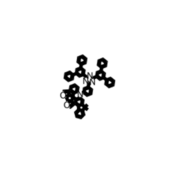 CC1(C)c2ccccc2-c2cc3c(cc21)N(c1cccc(-c2nc(-c4cc(-c5ccccc5)cc(-c5ccccc5)c4)nc(-c4cc(-c5ccccc5)cc(-c5ccccc5)c4)n2)c1)c1ccccc1C31c2ccoc2-c2occc21